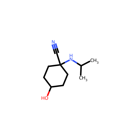 CC(C)NC1(C#N)CCC(O)CC1